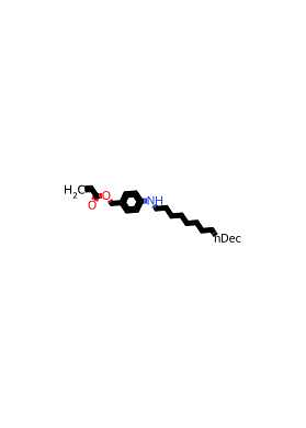 C=CC(=O)OCc1ccc(NCCCCCCCCCCCCCCCCCC)cc1